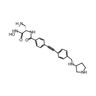 NC[C@H](NC(=O)c1ccc(C#Cc2ccc(CNC3CCNC3)cc2)cc1)C(=O)NO